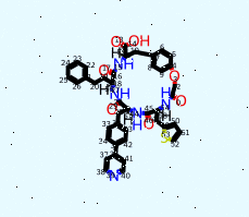 O=C1COc2ccc(cc2)C[C@@H](C(=O)O)NC(=O)[C@H](CCc2ccccc2)NC(=O)[C@@H](Cc2ccc(-c3ccncc3)cc2)NC(=O)[C@H](Cc2cccs2)N1